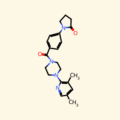 Cc1cnc(N2CCN(C(=O)c3ccc(N4CCCC4=O)cc3)CC2)c(C)c1